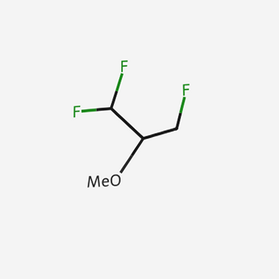 COC(CF)C(F)F